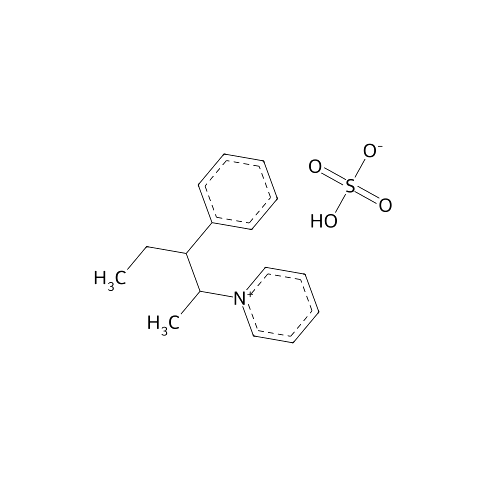 CCC(c1ccccc1)C(C)[n+]1ccccc1.O=S(=O)([O-])O